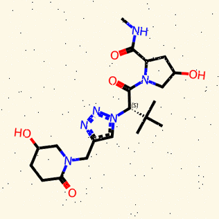 CNC(=O)C1CC(O)CN1C(=O)[C@@H](n1cc(CN2CC(O)CCC2=O)nn1)C(C)(C)C